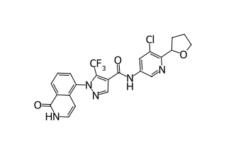 O=C(Nc1cnc(C2CCCO2)c(Cl)c1)c1cnn(-c2cccc3c(=O)[nH]ccc23)c1C(F)(F)F